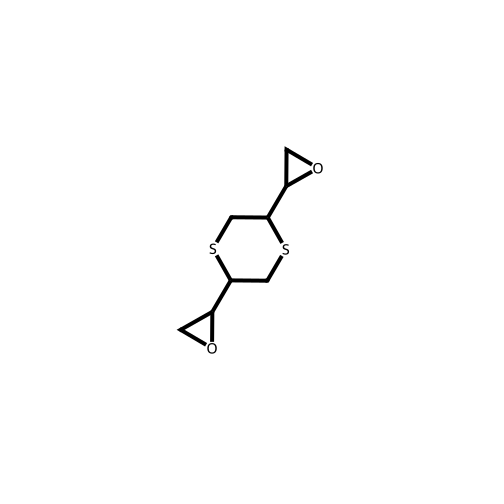 C1OC1C1CSC(C2CO2)CS1